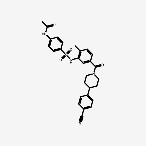 CC(=O)Nc1ccc(S(=O)(=O)Nc2cc(C(=O)N3CCC(c4ccc(C#N)cc4)CC3)ccc2C)cc1